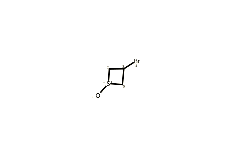 [O-][S+]1CC(Br)C1